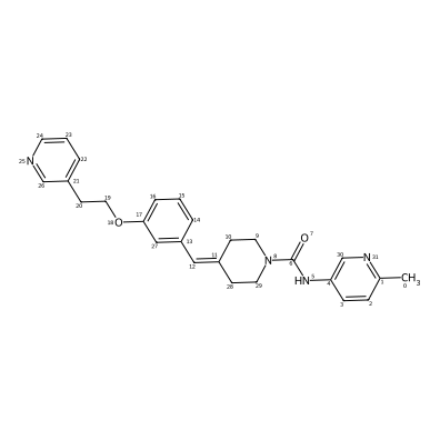 Cc1ccc(NC(=O)N2CCC(=Cc3cccc(OCCc4cccnc4)c3)CC2)cn1